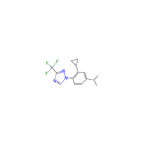 CC(C)c1ccc(-n2cnc(C(F)(F)F)n2)c(C2CC2)c1